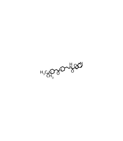 CC(C)N1CCC(CC(=O)N2CCC(CCNC(=O)c3cc4ccncc4o3)CC2)CC1